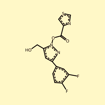 O=C(On1nc(-c2ccc(F)c(F)c2)cc1CO)c1cscn1